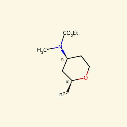 CCC[C@H]1C[C@@H](N(C)C(=O)OCC)CCO1